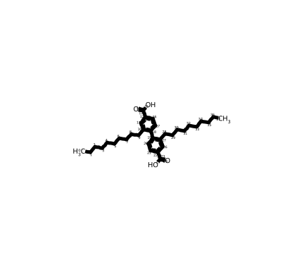 CCCCCCCCCCc1cc(C(=O)O)ccc1-c1ccc(C(=O)O)cc1CCCCCCCCCC